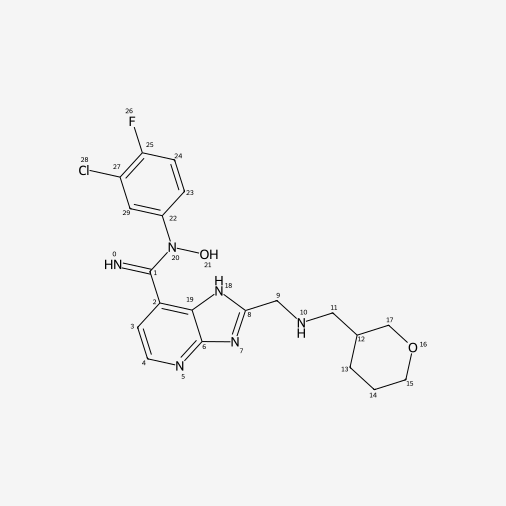 N=C(c1ccnc2nc(CNCC3CCCOC3)[nH]c12)N(O)c1ccc(F)c(Cl)c1